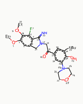 CCOc1cc2c(c(F)c1OCC)C(=N)N(CC(=O)c1cc(N3CCOCC3)c(O)c(C(C)(C)C)c1)C2